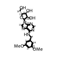 COc1cc(CNc2ncnc3c2ncn3C2O[C@H](CO)[C@@H](O)[C@H]2O)cc(OC)c1